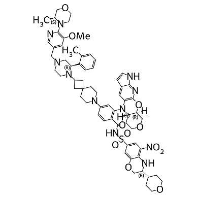 COc1cc(CN2CCN(C3CC4(CCN(c5ccc(C(=O)NS(=O)(=O)c6cc7c(c([N+](=O)[O-])c6)N[C@H](C6CCOCC6)CO7)c(N6c7cc8cc[nH]c8nc7O[C@H]7COCC[C@@H]76)c5)CC4)C3)[C@H](c3ccccc3C)C2)cnc1N1CCOC[C@@H]1C